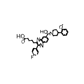 C/C=C(\C=C/C(C)F)c1nc2ccc(C(O)N3CCC(c4ccccc4OC)CC3)cc2nc1CCCCC(=O)O